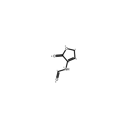 O=CNC1=CCOC1=O